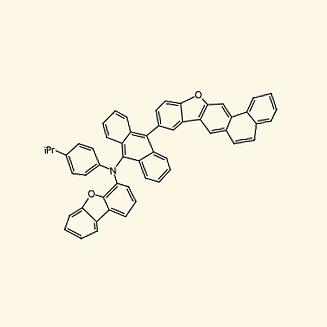 CC(C)c1ccc(N(c2c3ccccc3c(-c3ccc4oc5cc6c(ccc7ccccc76)cc5c4c3)c3ccccc23)c2cccc3c2oc2ccccc23)cc1